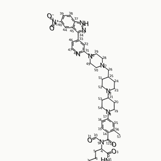 CNC(=O)C(CCC=O)N(C=O)C(=O)c1ccc(N2CCC(N3CCC(CN4CCN(c5cc(-c6n[nH]c7ccc([N+](=O)[O-])cc67)ccn5)CC4)CC3)CC2)cc1C